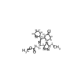 CCc1nnc2n1-c1ccc(Cl)cc1C(c1ccccn1)=N[C@H]2CCC(=O)OC